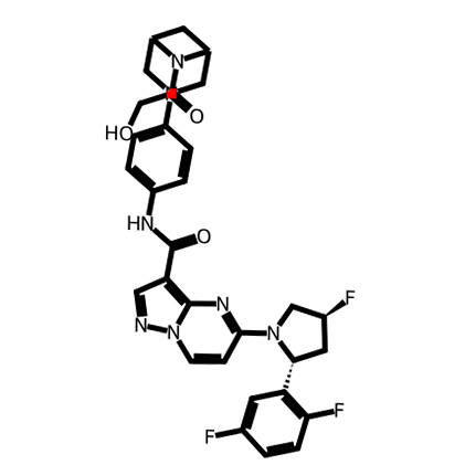 O=C(Nc1ccc(N2CC3CC(C2)N3C(=O)CO)cc1)c1cnn2ccc(N3C[C@@H](F)C[C@@H]3c3cc(F)ccc3F)nc12